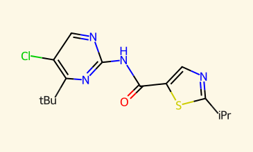 CC(C)c1ncc(C(=O)Nc2ncc(Cl)c(C(C)(C)C)n2)s1